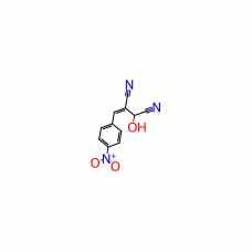 N#CC(=Cc1ccc([N+](=O)[O-])cc1)C(O)C#N